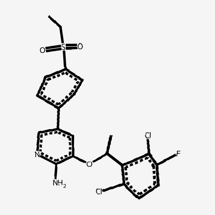 CCS(=O)(=O)c1ccc(-c2cnc(N)c(OC(C)c3c(Cl)ccc(F)c3Cl)c2)cc1